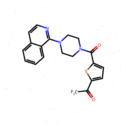 O=C(c1ccc(C(=O)C(F)(F)F)s1)N1CCN(c2nccc3ccccc23)CC1